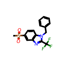 CS(=O)(=O)c1ccc2c(c1)nc(C(F)(F)F)n2Cc1ccccc1